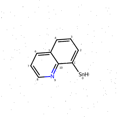 [SnH][c]1cccc2cccnc12